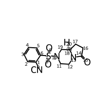 N#Cc1ccccc1S(=O)(=O)N1CCN2C(=O)CC[C@@H]2C1